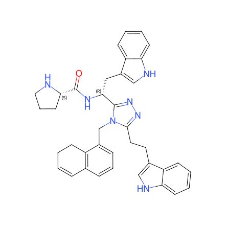 O=C(N[C@H](Cc1c[nH]c2ccccc12)c1nnc(CCc2c[nH]c3ccccc23)n1Cc1cccc2c1CCC=C2)[C@@H]1CCCN1